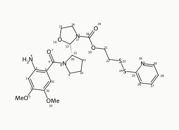 COc1cc(N)c(C(=O)N2CCC[C@H]2C2OCCN2C(=O)OCCSSc2ccccn2)cc1OC